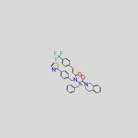 O=C([C@H](Cc1ccccc1)N(Cc1ccc(-c2nccs2)cc1)C(=O)C=Cc1ccc(C(F)(F)F)cc1)N1CCc2ccccc2C1